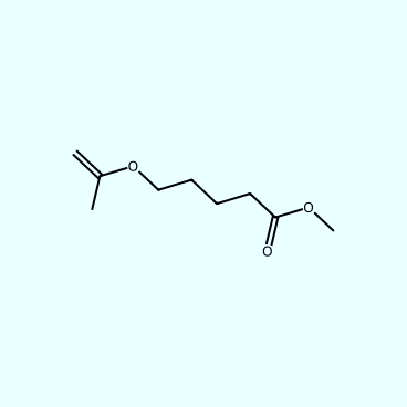 C=C(C)OCCCCC(=O)OC